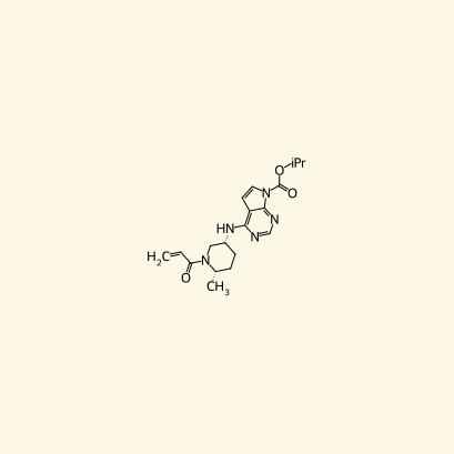 C=CC(=O)N1C[C@H](Nc2ncnc3c2ccn3C(=O)OC(C)C)CC[C@@H]1C